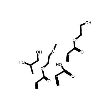 C=CC(=O)O.C=CC(=O)OCCCC.C=CC(=O)OCCO.CC(O)CO